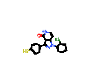 O=c1[nH]ccc2c1c(-c1ccc(S)cc1)nn2-c1ccccc1Cl